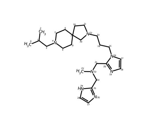 CC(C)CN1CCC2(CC1)CCN(CCCn1ccnc1CN(C)Cc1ncc[nH]1)C2